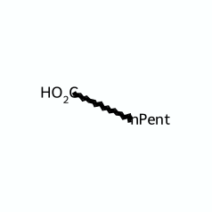 CCCCCC=CCCCCCCCCCCCCCCCC(=O)O